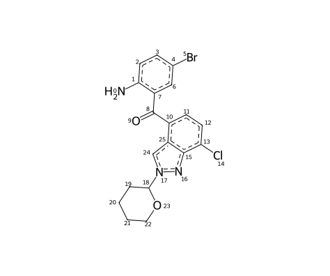 Nc1ccc(Br)cc1C(=O)c1ccc(Cl)c2nn(C3CCCCO3)cc12